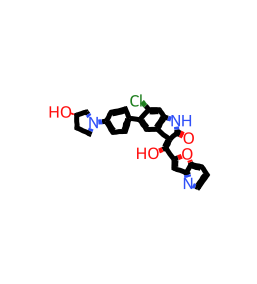 O=C1Nc2cc(Cl)c(-c3ccc(N4CC[C@H](O)C4)cc3)cc2C1=C(O)c1cc2ncccc2o1